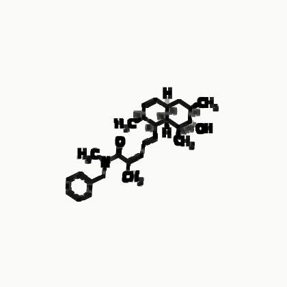 CC(=CC=C[C@@H]1[C@H]2[C@H](C)[C@@H](O)[C@H](C)C[C@@H]2C=C[C@@H]1C)C(=O)N(C)Cc1ccccc1